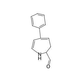 O=CC1CC=C(c2ccccc2)C=CN1